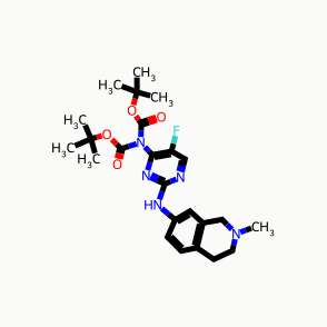 CN1CCc2ccc(Nc3ncc(F)c(N(C(=O)OC(C)(C)C)C(=O)OC(C)(C)C)n3)cc2C1